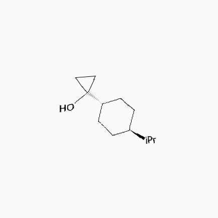 CC(C)[C@H]1CC[C@H](C2(O)CC2)CC1